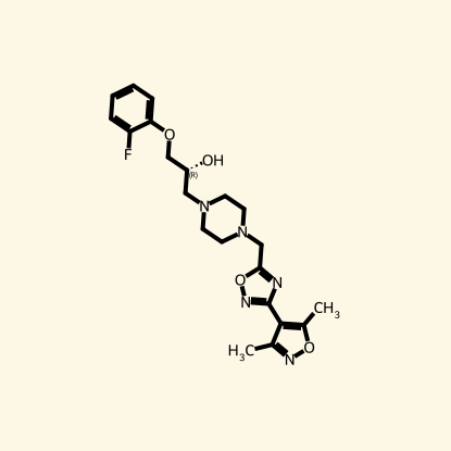 Cc1noc(C)c1-c1noc(CN2CCN(C[C@@H](O)COc3ccccc3F)CC2)n1